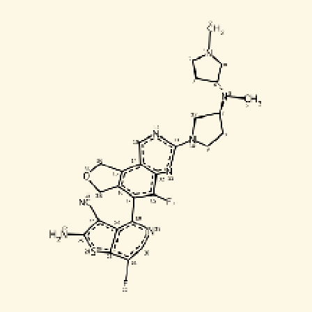 CN1CC[C@@H](N(C)[C@H]2CCN(c3ncc4c5c(c(-c6ncc(F)c7sc(N)c(C#N)c67)c(F)c4n3)COC5)C2)C1